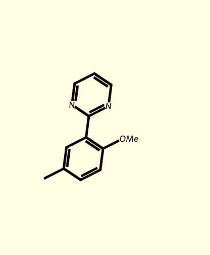 COc1ccc(C)cc1-c1ncccn1